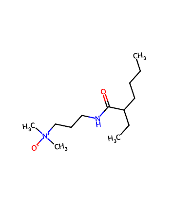 CCCCC(CC)C(=O)NCCC[N+](C)(C)[O-]